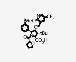 COc1ncc(C(F)(F)F)cc1CO[C@H]1[C@H](C(C)(C)C)[C@@H](C(=O)O)N(C(=O)[C@@H]2CCCO2)[C@H]1c1cccc(Br)c1